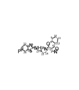 O=C(c1cnoc1-c1ccccc1)N1CCC(CNc2nc3ccc(F)cc3s2)C1